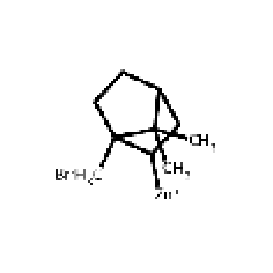 CC1(C)C2CCC1(C)[CH]([Zn+])C2.[Br-]